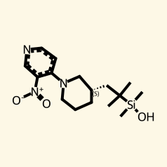 CC(C)(C[C@@H]1CCCN(c2ccncc2[N+](=O)[O-])C1)[Si](C)(C)O